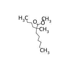 CCCCCCC(C)(CCCC)C(=O)OC